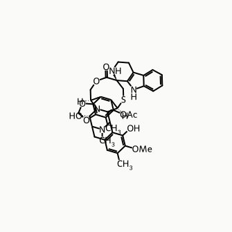 COc1c(C)cc2c(c1O)C1C3[C@@H]4SC[C@]5(NCCc6c5[nH]c5ccccc65)C(=O)OC[C@@H](c5c6c(c(C)c(OC(C)=O)c54)OCO6)N3[C@@H](O)C(C2)N1C